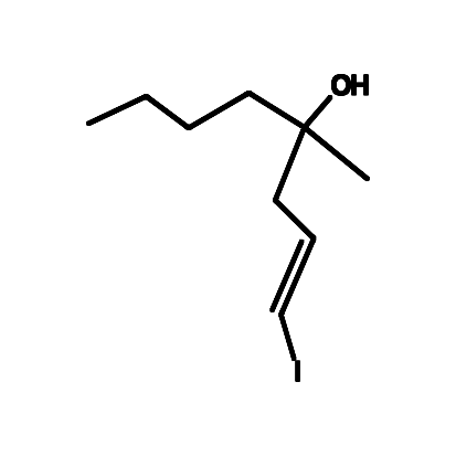 CCCCC(C)(O)CC=CI